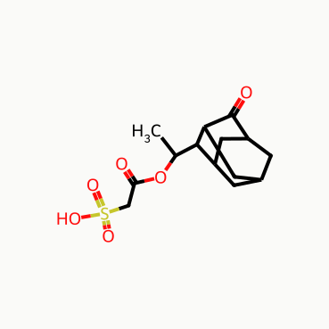 CC(OC(=O)CS(=O)(=O)O)C1C2CC3CC(C2)C(=O)C1C3